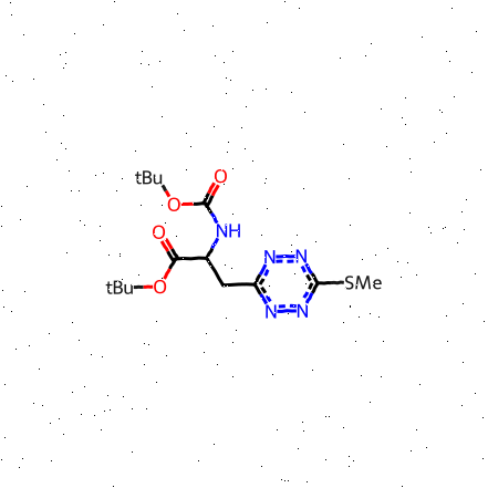 CSc1nnc(CC(NC(=O)OC(C)(C)C)C(=O)OC(C)(C)C)nn1